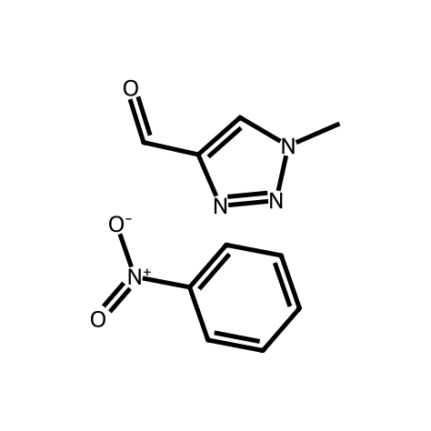 Cn1cc(C=O)nn1.O=[N+]([O-])c1ccccc1